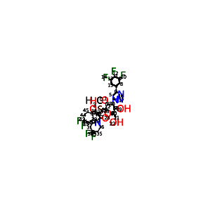 CO[C@@H]1[C@@H](n2cc(-c3cc(F)c(F)c(F)c3)nn2)[C@@H](O)[C@@H](CO)O[C@H]1S[C@H](C(=O)N1CCC(F)(F)CC1)C1(O)CCC(F)(F)CC1